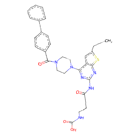 CCc1cc2c(N3CCN(C(=O)c4ccc(-c5ccccc5)cc4)CC3)nc(NC(=O)CCNC(=O)O)nc2s1